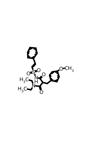 CCN(CC)C(=O)C(Cc1ccc(OC)cc1)C(=O)NS(=O)(=O)C=Cc1ccccc1